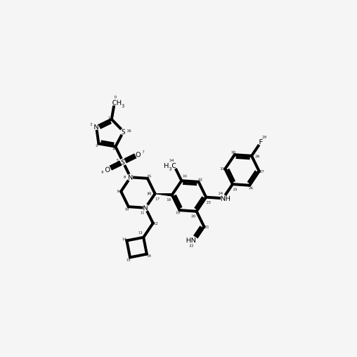 Cc1ncc(S(=O)(=O)N2CCN(CC3CCC3)[C@H](c3cc(C=N)c(Nc4ccc(F)cc4)cc3C)C2)s1